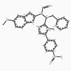 COc1ccc2oc(N(C=O)[C@@H](Cc3ccccn3)c3ncc(-c4ccc([N+](=O)[O-])cc4)n3C)cc2c1